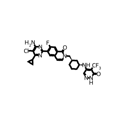 Nc1nc(-c2cc3ccn(C[C@@H]4CCC[C@H](Nc5cn[nH]c(=O)c5C(F)(F)F)C4)c(=O)c3cc2F)nc(C2CC2)c1Cl